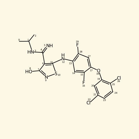 CC(C)NC(=N)c1c(O)nsc1Nc1cc(F)c(Oc2cc(Cl)ccc2Cl)cc1F